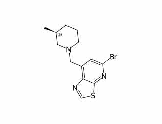 C[C@H]1CCCN(Cc2cc(Br)nc3scnc23)C1